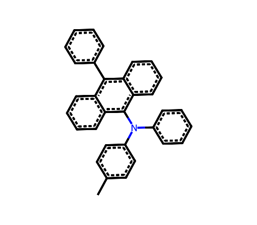 Cc1ccc(N(c2ccccc2)c2c3ccccc3c(-c3ccccc3)c3ccccc23)cc1